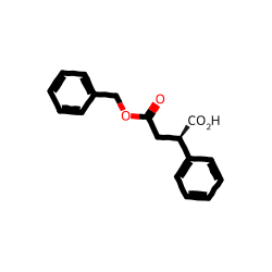 O=C(C[C@@H](C(=O)O)c1ccccc1)OCc1ccccc1